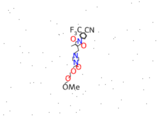 COCCOCCOCC(=O)N1CCN(CCC2=C(C)C(=O)N(c3ccc(C#N)c(C(F)(F)F)c3)C2=O)CC1